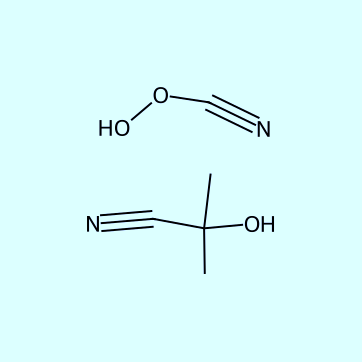 CC(C)(O)C#N.N#COO